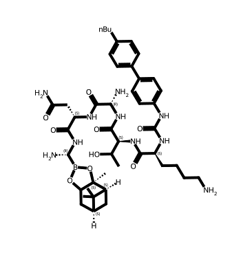 CCCCc1ccc(-c2ccc(NC(=O)N[C@@H](CCCCN)C(=O)N[C@H](C(=O)N[C@@H](N)C(=O)N[C@@H](CC(N)=O)C(=O)N[C@@H](N)B3OC4C[C@@H]5C[C@@H](C5(C)C)[C@]4(C)O3)C(C)O)cc2)cc1